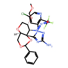 COCO[C@H]1CO[C@@H]2COC(c3ccccc3)O[C@@]2(c2nc(N)nn2-c2cc(Cl)cnc2C(F)(F)F)[C@@H]1N=[N+]=[N-]